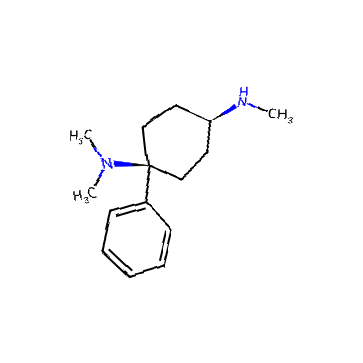 CN[C@H]1CC[C@@](c2ccccc2)(N(C)C)CC1